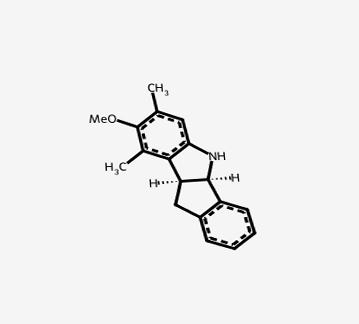 COc1c(C)cc2c(c1C)[C@@H]1Cc3ccccc3[C@@H]1N2